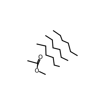 CCCCCC.CCCCCC.CCCCCC.COC(C)=O